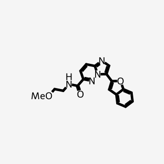 COCCNC(=O)c1ccc2ncc(-c3cc4ccccc4o3)n2n1